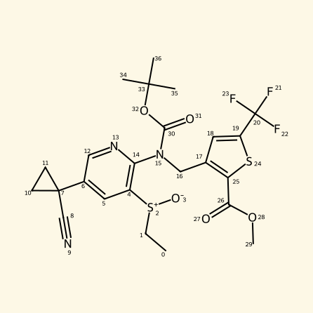 CC[S+]([O-])c1cc(C2(C#N)CC2)cnc1N(Cc1cc(C(F)(F)F)sc1C(=O)OC)C(=O)OC(C)(C)C